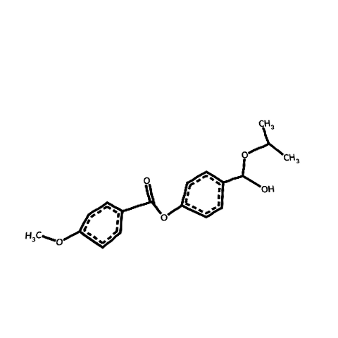 COc1ccc(C(=O)Oc2ccc(C(O)OC(C)C)cc2)cc1